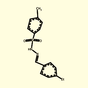 CCc1ccc(C=NNS(=O)(=O)c2ccc(C)cc2)cc1